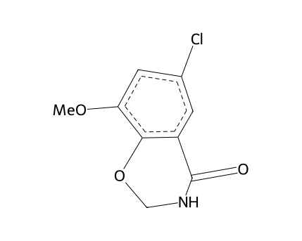 COc1cc(Cl)cc2c1OCNC2=O